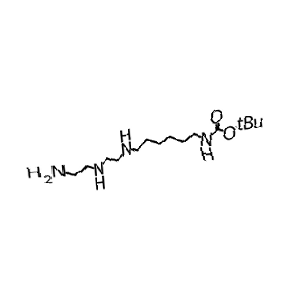 CC(C)(C)OC(=O)NCCCCCCNCCNCCN